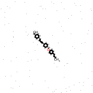 CCCCc1ccc(OC[C@H]2CC[C@H](C#CC=C[C@H]3CC[C@H](CC)CC3)CC2)cc1